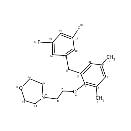 Cc1cc(C)c(OCCN2CCOCC2)c(Cc2cc(F)cc(F)c2)c1